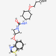 COCCO[C@H]1CC[C@H](NC(=O)N2CC(Oc3cccc4scnc34)C2)CC1